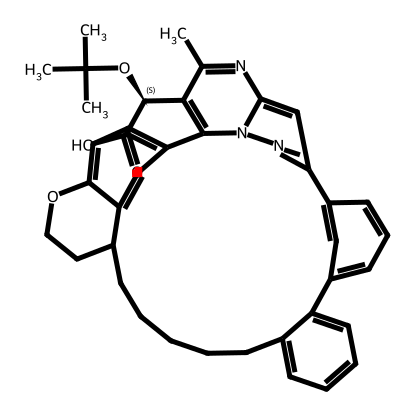 Cc1nc2cc3nn2c(c1[C@H](OC(C)(C)C)C(=O)O)-c1ccc2c(c1)C(CCCCCc1ccccc1-c1cccc-3c1)CCO2